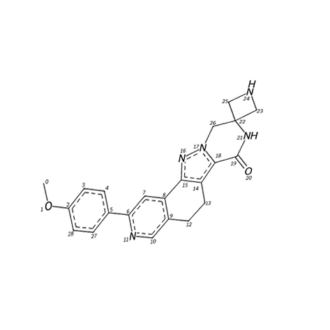 COc1ccc(-c2cc3c(cn2)CCc2c-3nn3c2C(=O)NC2(CNC2)C3)cc1